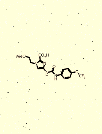 COCCn1cc(NC(=O)Nc2ccc(OC(F)(F)F)cc2)nc1C(=O)O